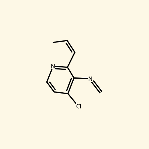 C=Nc1c(Cl)ccnc1/C=C\C